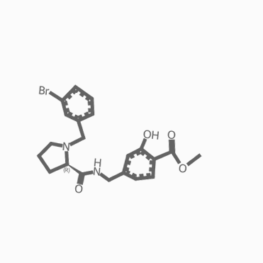 COC(=O)c1ccc(CNC(=O)[C@H]2CCCN2Cc2cccc(Br)c2)cc1O